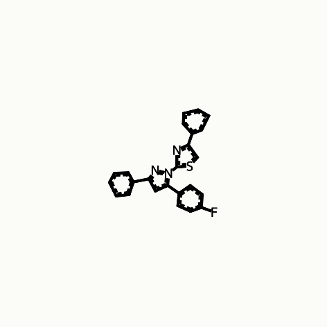 Fc1ccc(-c2cc(-c3ccccc3)nn2-c2nc(-c3ccccc3)cs2)cc1